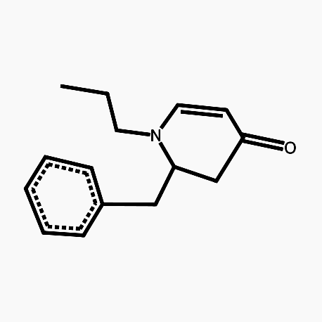 CCCN1C=CC(=O)CC1Cc1ccccc1